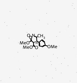 COC(=O)C(C(=O)OC)[C@H](c1ccc(OC)cc1)C(C)[N+](=O)[O-]